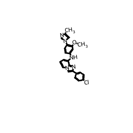 COc1cc(Nc2cccn3cc(-c4ccc(Cl)cc4)nc23)ccc1-n1cnc(C)c1